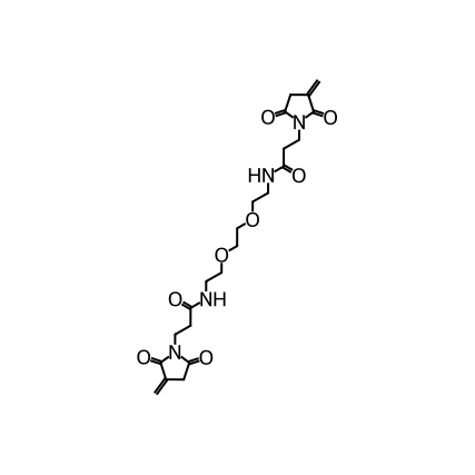 C=C1CC(=O)N(CCC(=O)NCCOCCOCCNC(=O)CCN2C(=O)CC(=C)C2=O)C1=O